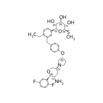 CCc1ccc([C@@H]2O[C@H](SC)[C@@H](O)[C@H](O)[C@H]2O)cc1Cc1ccc(O[C@@H]2CCN([C@@H]3CO[C@H](c4cc(F)ccc4F)[C@@H](N)C3)C2)cc1